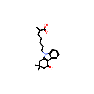 CC(CCCCCn1c2c(c3ccccc31)C(=O)CC(C)(C)C2)C(=O)O